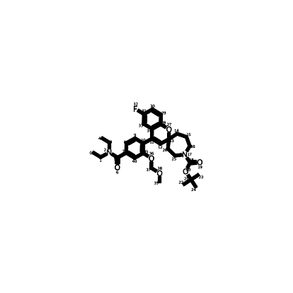 CCN(CC)C(=O)c1ccc(C2=CC3(CCCN(C(=O)OC(C)(C)C)CC3)Oc3ccc(F)cc32)c(OCOC)c1